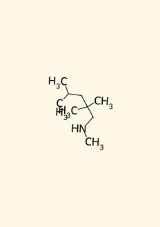 CNCC(C)(C)CC(C)C